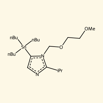 CCC[CH2][Sn]([CH2]CCC)([CH2]CCC)[c]1cnc(C(C)C)n1COCCOC